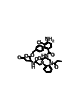 CCC(=O)N1C[C@H](NC(=O)c2ccc(N)c(Cl)c2)C(=O)N(CC(=O)NC2CC(=O)OC2OCc2ccccc2)c2ccccc21